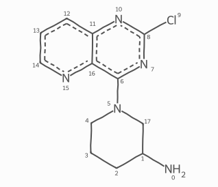 NC1CCCN(c2nc(Cl)nc3cccnc23)C1